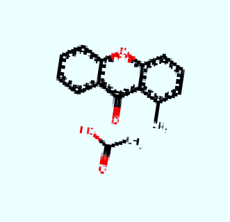 CC(=O)O.Cc1cccc2oc3ccccc3c(=O)c12